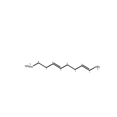 [CH2]CC/C=C/CC/C=C/CCCCCCCC